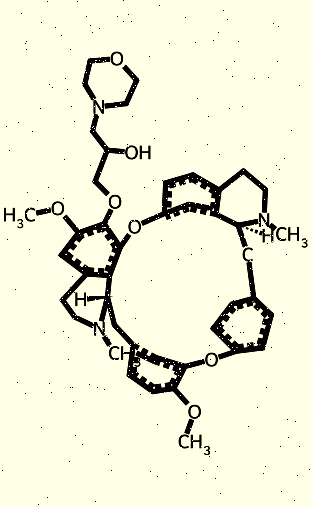 COc1ccc2cc1Oc1ccc(cc1)C[C@H]1c3cc(ccc3CCN1C)Oc1c(OCC(O)CN3CCOCC3)c(OC)cc3c1[C@H](C2)N(C)CC3